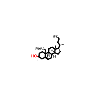 COC[C@]12CC[C@](C)(O)CC1=CC[C@@H]1[C@@H]2CC[C@]2(C)[C@@H]([C@H](C)CCC(C)C)CC[C@@H]12